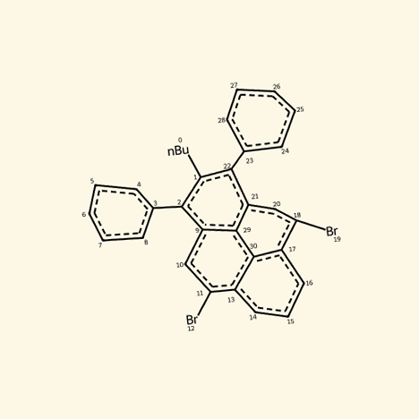 CCCCc1c(-c2ccccc2)c2cc(Br)c3cccc4c(Br)cc(c1-c1ccccc1)c2c34